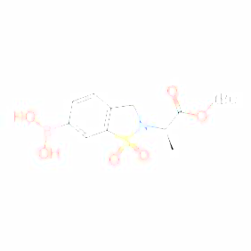 C[C@H](C(=O)OC(C)(C)C)N1Cc2ccc(B(O)O)cc2S1(=O)=O